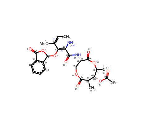 C/C=C(OC)\C(OC1OC(=O)c2ccccc21)=C(/N)C(=O)N[C@H]1COC(=O)[C@H](C)[C@@H](OC(=O)C(C)C)[C@H](C)OC1=O